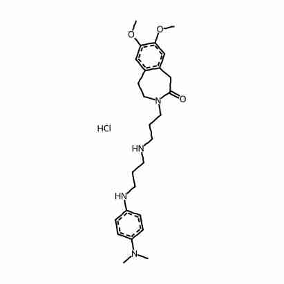 COc1cc2c(cc1OC)CC(=O)N(CCCNCCCNc1ccc(N(C)C)cc1)CC2.Cl